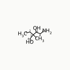 CCC(C)(CO)C(O)CN